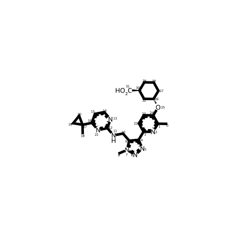 Cc1nc(-c2nnn(C)c2CNc2nccc(C3(C)CC3)n2)ccc1O[C@H]1CCC[C@H](C(=O)O)C1